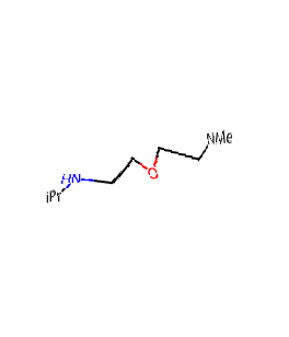 CNCCOCCNC(C)C